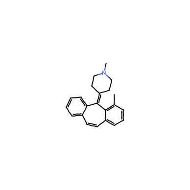 Cc1cccc2c1C(=C1CCN(C)CC1)c1ccccc1C=C2